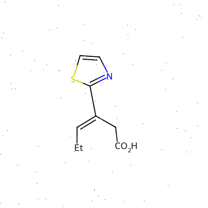 CCC=C(CC(=O)O)c1nccs1